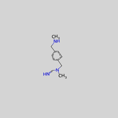 CNCc1ccc(CN(C)C=N)cc1